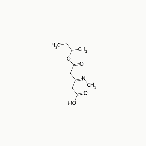 CCC(C)OC(=O)CC(CC(=O)O)=NC